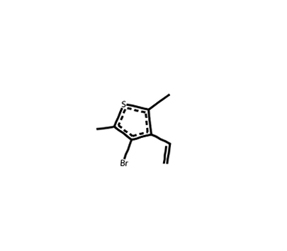 C=Cc1c(C)sc(C)c1Br